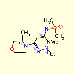 CCN/N=C(\C=C(\N=S(C)(C)=O)NC)N1CCOC[C@H]1C